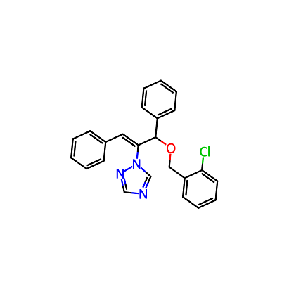 Clc1ccccc1COC(C(=Cc1ccccc1)n1cncn1)c1ccccc1